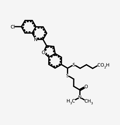 CN(C)C(=O)CCSC(SCCCC(=O)O)c1ccc2oc(-c3ccc4ccc(Cl)cc4n3)cc2c1